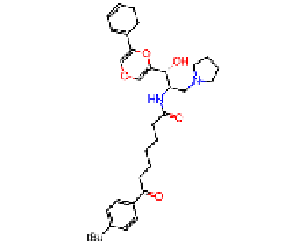 CC(C)(C)c1ccc(C(=O)CCCCCC(=O)N[C@H](CN2CCCC2)[C@@H](O)C2=COC=C(C3=CC=CCC3)O2)cc1